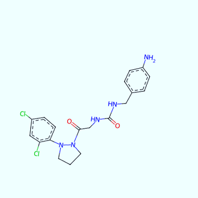 Nc1ccc(CNC(=O)NCC(=O)N2CCCN2c2ccc(Cl)cc2Cl)cc1